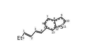 [CH2]CC=CC=Cc1ccc2ccsc2c1